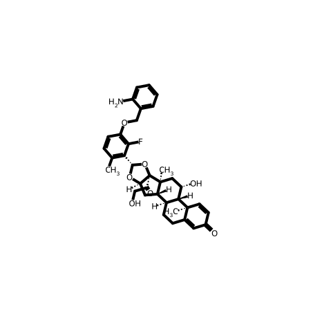 Cc1ccc(OCc2ccccc2N)c(F)c1[C@H]1O[C@@H]2C[C@H]3[C@@H]4CCC5=CC(=O)C=C[C@]5(C)[C@H]4[C@@H](O)C[C@]3(C)[C@]2(C(=O)CO)O1